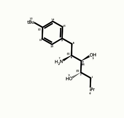 CC(C)C[C@H](O)[C@H](O)[C@@H](N)Cc1ccc(C(C)(C)C)cc1